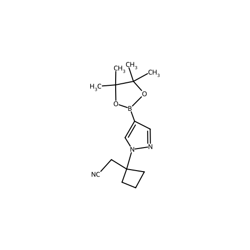 CC1(C)OB(c2cnn(C3(CC#N)CCC3)c2)OC1(C)C